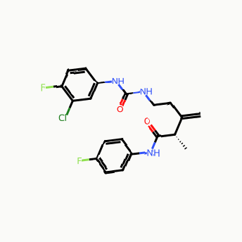 C=C(CCNC(=O)Nc1ccc(F)c(Cl)c1)[C@H](C)C(=O)Nc1ccc(F)cc1